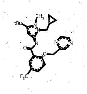 Cn1c(C(C)(C)C)cc(=NC(=O)c2cc(C(F)(F)F)ccc2OCc2cnccn2)n1CC1CC1